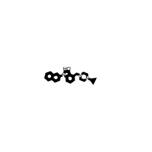 Cl.c1ccc2cc(-n3ccc4c(CN5CCN(C6CC6)CC5)cccc43)ccc2c1